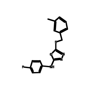 Cc1cccc(CSc2nnc(Nc3ccc(F)cc3)o2)c1